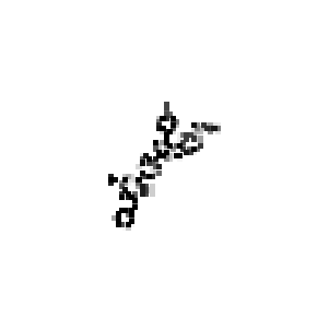 CNc1nccc(-c2[nH]c(C3OCC(C(C)NC(=O)Cc4ccccc4)CO3)nc2-c2ccc(F)cc2)n1